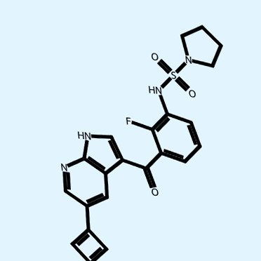 O=C(c1cccc(NS(=O)(=O)N2CCCC2)c1F)c1c[nH]c2ncc(C3=CC=C3)cc12